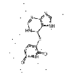 O=c1ccn(SC2NC=Nc3nc[nH]c32)c(=O)[nH]1